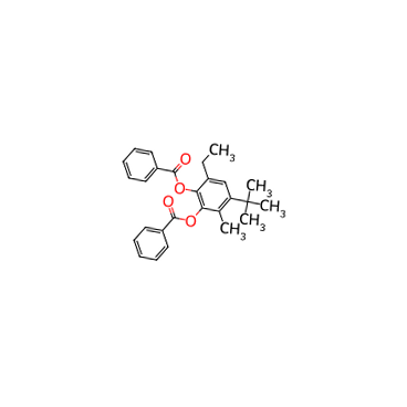 CCc1cc(C(C)(C)C)c(C)c(OC(=O)c2ccccc2)c1OC(=O)c1ccccc1